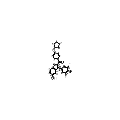 O=C(c1ccc(OC2CCCC2)cc1)c1sc2ccc(O)cc2c1-c1cc(F)c(F)c(F)c1